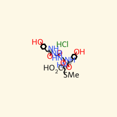 CSCC[C@H](NC(=O)[C@@H](Cc1ccc(O)cc1)NC(=O)CNC(=O)CNC(=O)[C@@H](N)Cc1ccc(O)cc1)C(=O)O.Cl